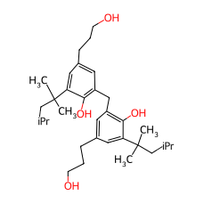 CC(C)CC(C)(C)c1cc(CCCO)cc(Cc2cc(CCCO)cc(C(C)(C)CC(C)C)c2O)c1O